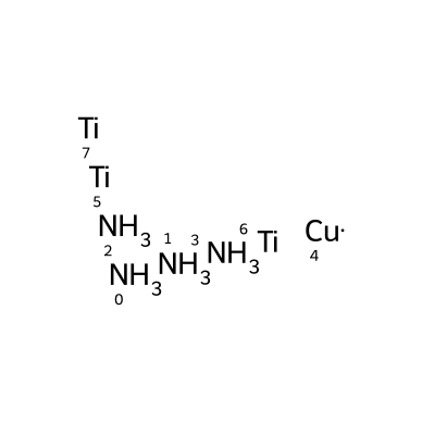 N.N.N.N.[Cu].[Ti].[Ti].[Ti]